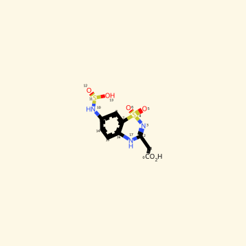 O=C(O)CC1=NS(=O)(=O)c2cc(NS(=O)O)ccc2N1